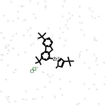 CC1C=C(C(C)(C)C)C=[C]1[Zr+2][c]1cc(C(C)(C)C)cc2c1Cc1ccc(C(C)(C)C)cc1-2.[Cl-].[Cl-]